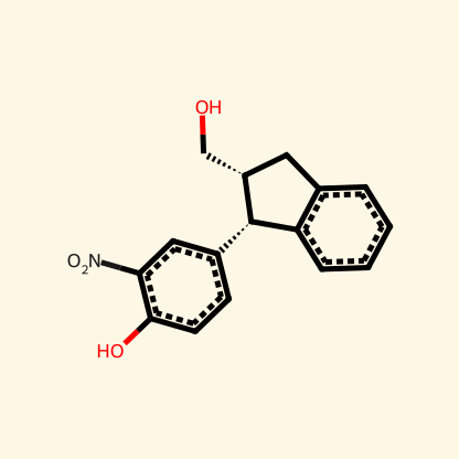 O=[N+]([O-])c1cc([C@H]2c3ccccc3C[C@H]2CO)ccc1O